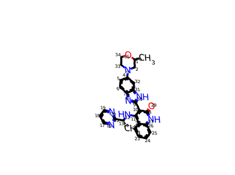 CC1CN(c2ccc3nc(-c4c(N[C@@H](C)c5ncccn5)c5ccccc5[nH]c4=O)[nH]c3c2)CCO1